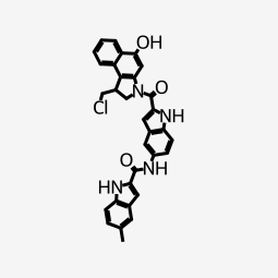 Cc1ccc2[nH]c(C(=O)Nc3ccc4[nH]c(C(=O)N5CC(CCl)c6c5cc(O)c5ccccc65)cc4c3)cc2c1